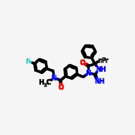 CCCC1(c2ccccc2)NC(=N)N(Cc2cccc(C(=O)N(C)Cc3ccc(F)cc3)c2)C1=O